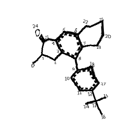 CC1Cc2c(cc3c(c2-c2ccc(C(C)(C)C)cc2)CCCC3)C1=O